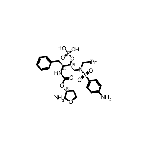 CC(C)CN(C[C@@H](OP(=O)(O)O)[C@H](Cc1ccccc1)NC(=O)O[C@@H]1CCOC1)S(=O)(=O)c1ccc(N)cc1.N